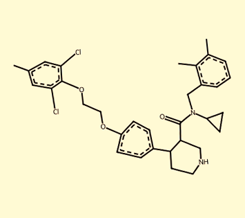 Cc1cc(Cl)c(OCCOc2ccc(C3CCNCC3C(=O)N(Cc3cccc(C)c3C)C3CC3)cc2)c(Cl)c1